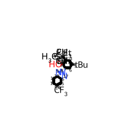 CCC(c1cc(C(C)(C)C)cc(-n2nc3ccc(C(F)(F)F)cc3n2)c1O)[Si](C)(C)C